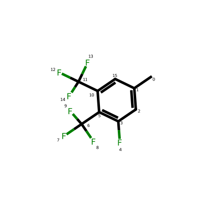 Cc1cc(F)c(C(F)(F)F)c(C(F)(F)F)c1